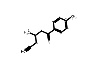 C#CCC(C)CC(=O)c1ccc(C)cc1